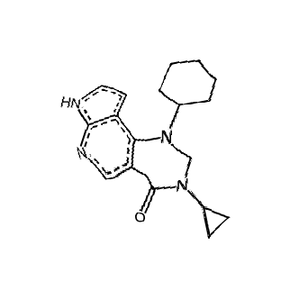 O=C1c2cnc3[nH]ccc3c2N(C2CCCCC2)CN1C1CC1